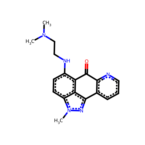 CN(C)CCNc1ccc2c3c(nn2C)-c2cccnc2C(=O)c13